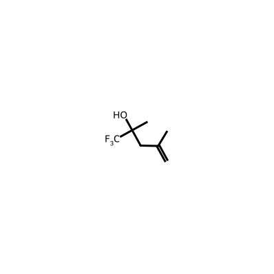 C=C(C)CC(C)(O)C(F)(F)F